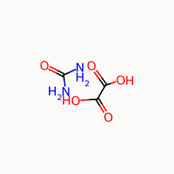 NC(N)=O.O=C(O)C(=O)O